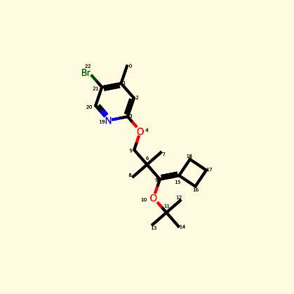 Cc1cc(OCC(C)(C)C(OC(C)(C)C)=C2CCC2)ncc1Br